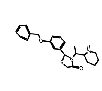 CC(C1CCCCN1)N1C(=O)CSC1c1cccc(OCc2ccccc2)c1